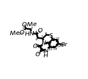 COC(CNC(=O)CC1CSc2cc(Br)cc3[nH]c(=O)c(=O)n1c23)OC